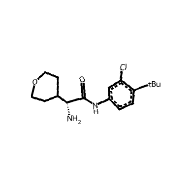 CC(C)(C)c1ccc(NC(=O)[C@H](N)C2CCOCC2)cc1Cl